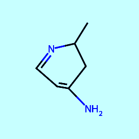 CC1CC(N)=CC=N1